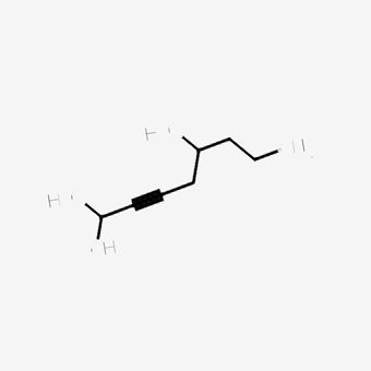 [CH2]CCC(C)CC#CC(C)C